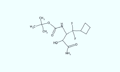 CC(C)(C)OC(=O)NC(C(O)C(N)=O)C(F)(F)C1CCC1